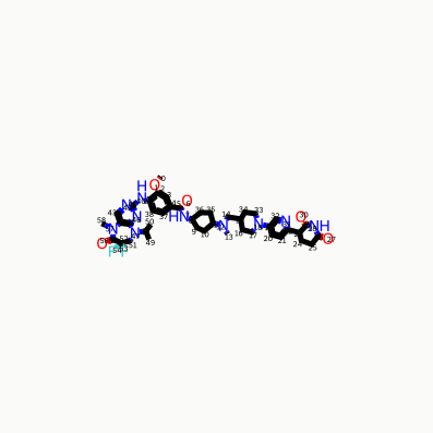 COc1cc(C(=O)NC2CCC(N(C)CC3CCN(c4ccc(C5CCC(=O)NC5=O)nc4)CC3)CC2)ccc1Nc1ncc2c(n1)N(C(C)C)CC(F)(F)C(=O)N2C